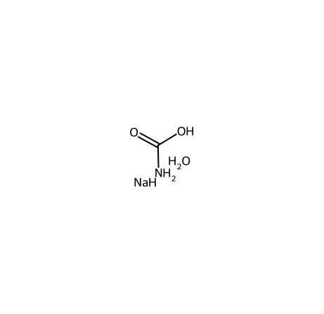 NC(=O)O.O.[NaH]